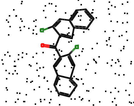 O=C(c1cc2ccccc2cc1Cl)c1cc2ccccc2cc1Cl